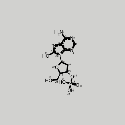 Nc1ncnc2c1nc(O)n2[C@H]1C[C@H](OP(=O)(O)O)[C@@H](CO)O1